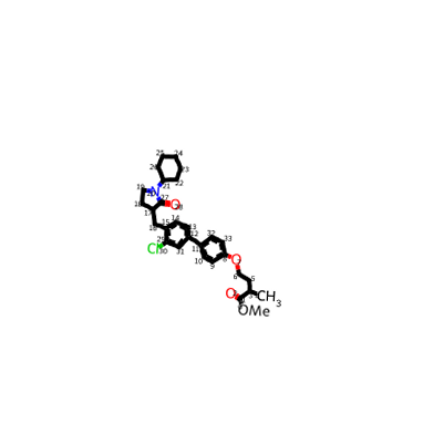 COC(=O)C(C)CCOc1ccc(-c2ccc(CC3CCN(C4CCCCC4)C3=O)c(Cl)c2)cc1